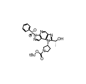 C[C@@H](O)c1nc2cnc3c(cnn3S(=O)(=O)c3ccccc3)c2n1[C@H]1CCN(C(=O)OC(C)(C)C)C1